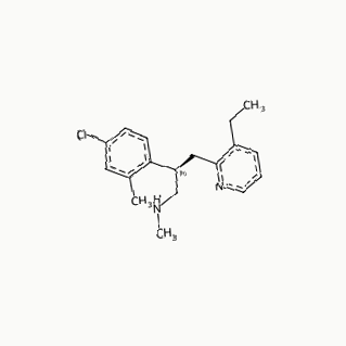 CCc1cccnc1C[C@@H](CNC)c1ccc(Cl)cc1C